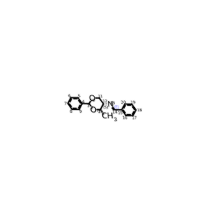 C[C@H]1OC(c2ccccc2)OC[C@@H]1/N=C/c1ccccc1